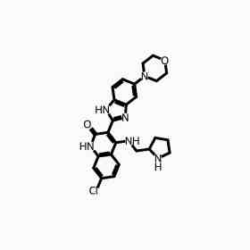 O=c1[nH]c2cc(Cl)ccc2c(NCC2CCCN2)c1-c1nc2cc(N3CCOCC3)ccc2[nH]1